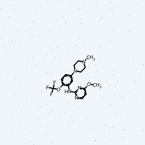 COc1ccnc(Nc2cc(N3CCN(C)CC3)ccc2OC(F)(F)F)n1